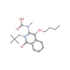 CCCCOc1c(N(C)C(=O)O)n(CC(C)(C)C)c(=O)c2ccccc12